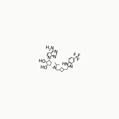 CC(C)N(CC1CC(Cc2nc3cc(C(F)(F)F)ccc3[nH]2)C1)C[C@H]1C[C@@H](n2ccc3c(N)ncnc32)C(O)[C@@H]1O